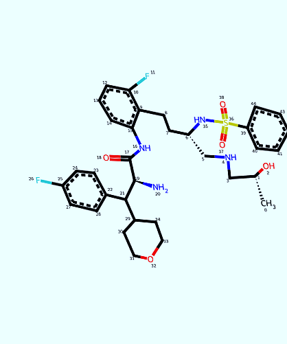 C[C@@H](O)CNC[C@H](CCc1c(F)cccc1NC(=O)[C@@H](N)C(c1ccc(F)cc1)C1CCOCC1)NS(=O)(=O)c1ccccc1